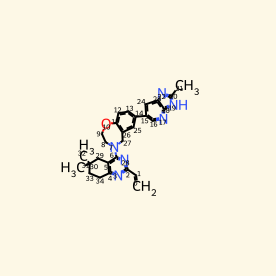 C=Cc1nc2c(c(N3CCOc4ccc(-c5cnc6[nH]c(C)nc6c5)cc4C3)n1)CC(C)(C)CC2